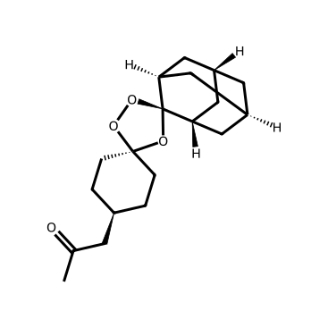 CC(=O)C[C@H]1CC[C@]2(CC1)OO[C@]1(O2)[C@@H]2C[C@H]3C[C@@H](C2)C[C@@H]1C3